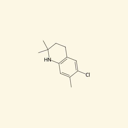 Cc1cc2c(cc1Cl)CCC(C)(C)N2